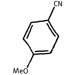 [CH2]Oc1ccc(C#N)cc1